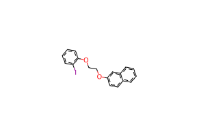 Ic1ccccc1OCCOc1ccc2ccccc2c1